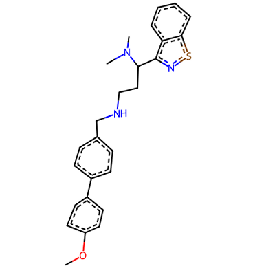 COc1ccc(-c2ccc(CNCCC(c3nsc4ccccc34)N(C)C)cc2)cc1